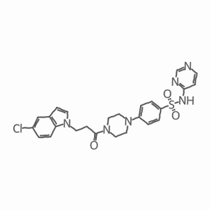 O=C(CCn1ccc2cc(Cl)ccc21)N1CCN(c2ccc(S(=O)(=O)Nc3ccncn3)cc2)CC1